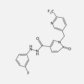 O=C(NNc1cccc(F)c1)c1ccc(=O)n(Cc2ccc(C(F)(F)F)nc2)c1